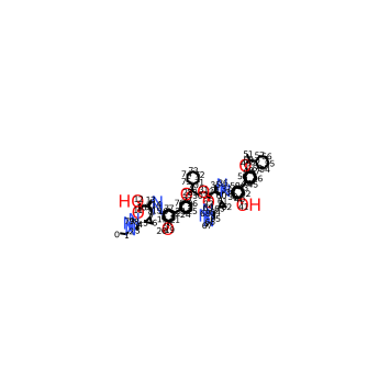 CCn1cc([C@H]2C[C@@H]2c2c(C(=O)O)cnn2-c2cc(OC)cc(-c3cccc(OC(COC(=O)c4cnn(-c5cc(O)cc(-c6cccc(OC(C)C7CCCCC7)c6)c5)c4[C@H]4C[C@@H]4c4cn(C)nn4)C4CCCCC4)c3)c2)nn1